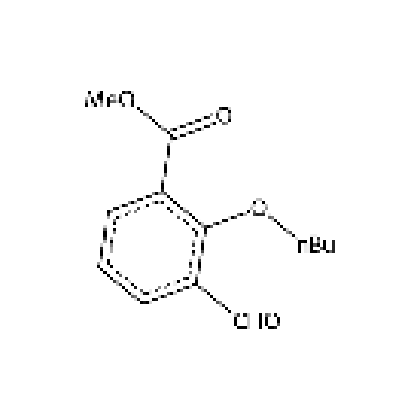 CCCCOc1c(C=O)cccc1C(=O)OC